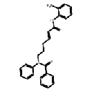 Nc1ccccc1NC(=O)C=CCCCN(C(=O)c1ccccc1)c1ccccc1